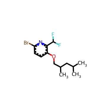 CC(C)CC(C)COc1ccc(Br)nc1C(F)F